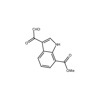 COC(=O)c1cccc2c(C(=O)[C]=O)c[nH]c12